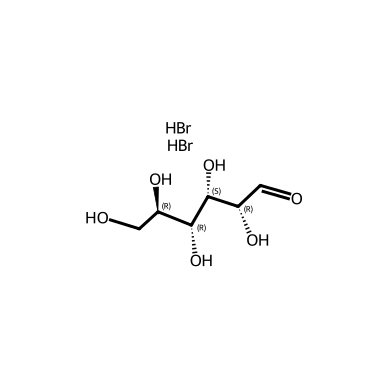 Br.Br.O=C[C@H](O)[C@@H](O)[C@H](O)[C@H](O)CO